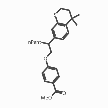 CCCCCC(COc1ccc(C(=O)OC)cc1)c1ccc2c(c1)SCCC2(C)C